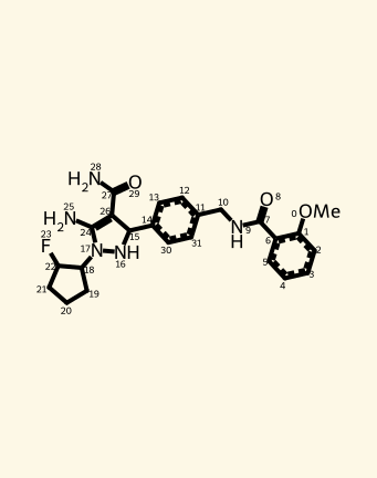 COc1ccccc1C(=O)NCc1ccc(C2NN(C3CCCC3F)C(N)=C2C(N)=O)cc1